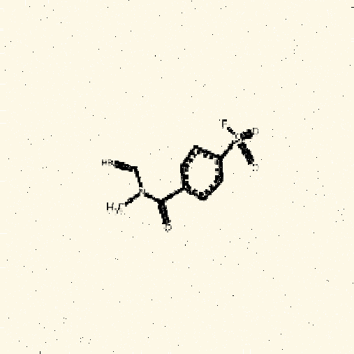 B=CN(C)C(=O)c1ccc(S(=O)(=O)F)cc1